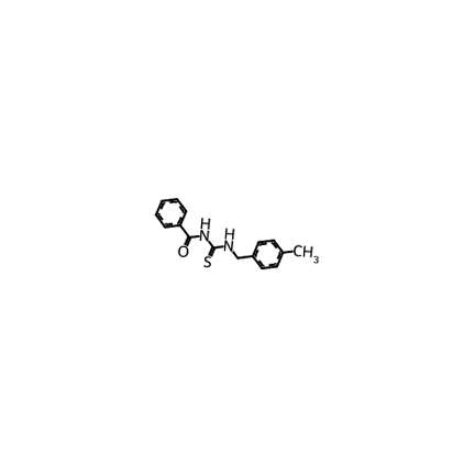 Cc1ccc(CNC(=S)NC(=O)c2ccccc2)cc1